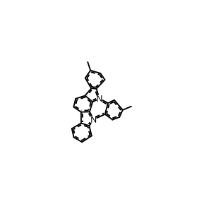 Cc1ccc2c(c1)c1ccc3c4ccccc4n4c5ccc(C)cc5n2c1c34